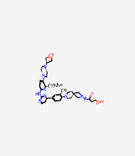 COc1nc(Nc2nccc(-c3ccc(N4CCC5(CC4)CN(C(=O)CCO)C5)c(C#N)c3)n2)ccc1N1CCN(C2COC2)CC1